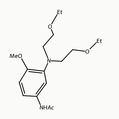 CCOCCN(CCOCC)c1cc(NC(C)=O)ccc1OC